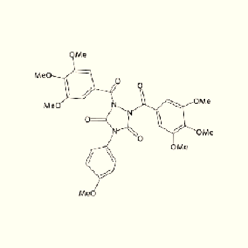 COc1ccc(-n2c(=O)n(C(=O)c3cc(OC)c(OC)c(OC)c3)n(C(=O)c3cc(OC)c(OC)c(OC)c3)c2=O)cc1